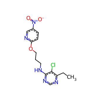 CCc1ncnc(NCCCOc2ccc([N+](=O)[O-])cn2)c1Cl